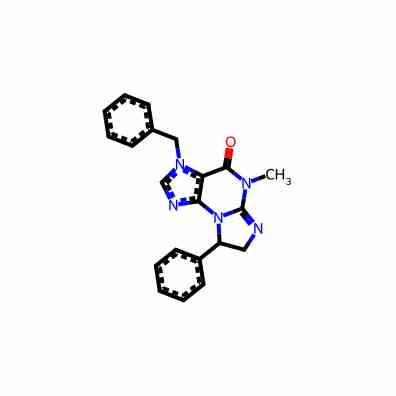 CN1C(=O)c2c(ncn2Cc2ccccc2)N2C1=NCC2c1ccccc1